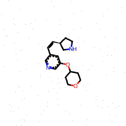 C(=C/[C@H]1CCNC1)/c1cncc(OC2CCOCC2)c1